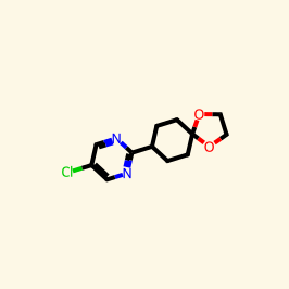 Clc1cnc(C2CCC3(CC2)OCCO3)nc1